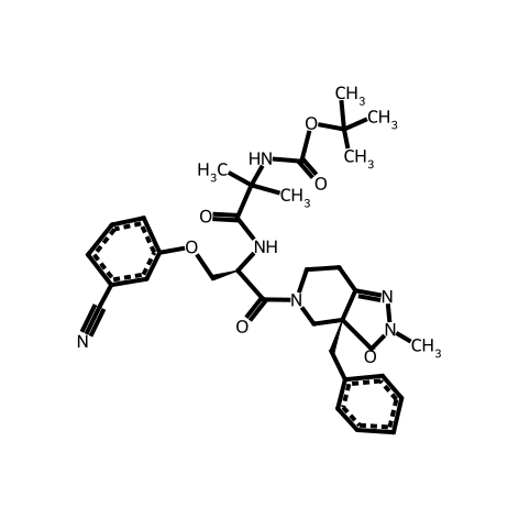 CN1N=C2CCN(C(=O)[C@@H](COc3cccc(C#N)c3)NC(=O)C(C)(C)NC(=O)OC(C)(C)C)C[C@@]2(Cc2ccccc2)C1=O